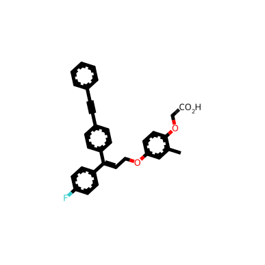 Cc1cc(OCC=C(c2ccc(F)cc2)c2ccc(C#Cc3ccccc3)cc2)ccc1OCC(=O)O